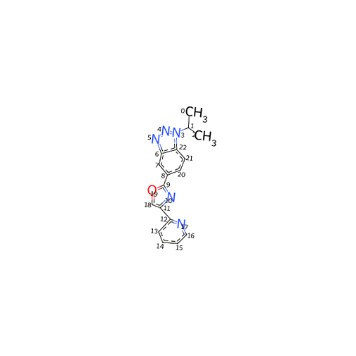 CC(C)n1nnc2cc(-c3nc(-c4ccccn4)co3)ccc21